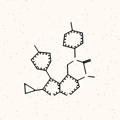 COc1ccc(-c2c(C3CC3)[nH]c3ncc4c(c23)CN(c2ccc(C(=O)O)cc2)C(=O)N4C)cc1